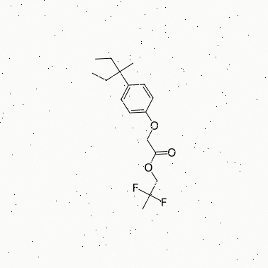 CCC(C)(CC)c1ccc(OCC(=O)OCC(C)(F)F)cc1